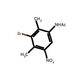 CC(=O)Nc1cc([N+](=O)[O-])c(C)c(Br)c1C